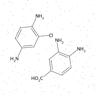 Nc1ccc(C(=O)O)cc1N.Nc1ccc(N)c(Cl)c1